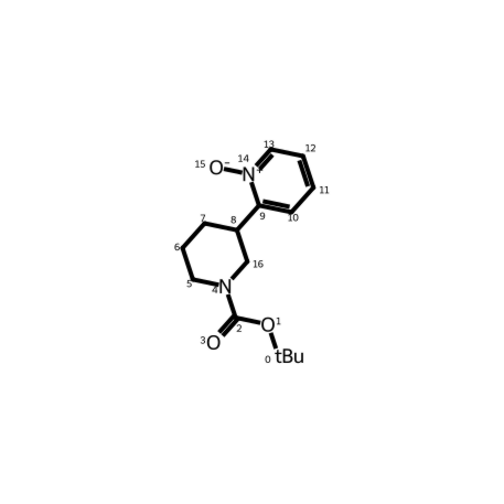 CC(C)(C)OC(=O)N1CCCC(c2cccc[n+]2[O-])C1